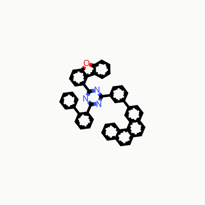 c1ccc(-c2ccccc2-c2nc(-c3cccc(-c4ccc5ccc6ccc7ccccc7c6c5c4)c3)nc(-c3cccc4oc5ccccc5c34)n2)cc1